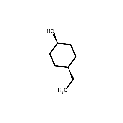 CC[C@H]1CC[C@@H](O)CC1